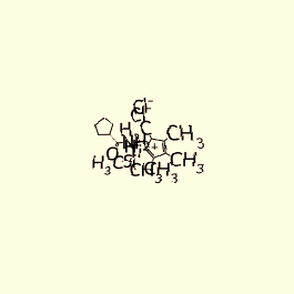 CC1=C(C)C(C)[C]([Ti+2]([NH]C(=O)C2CCCC2)[SiH](C)C)=C1C.[Cl-].[Cl-]